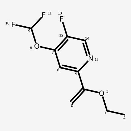 C=C(OCC)c1cc(OC(F)F)c(F)cn1